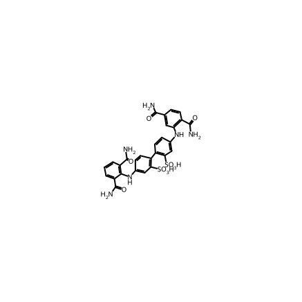 NC(=O)c1ccc(C(N)=O)c(Nc2ccc(-c3ccc(Nc4c(C(N)=O)cccc4C(N)=O)cc3S(=O)(=O)O)c(S(=O)(=O)O)c2)c1